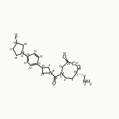 NC[C@@H]1CCN(C(=O)N2CC(c3ccc(N4CCC(F)C4)cc3)C2)CC(=O)CO1